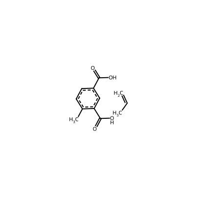 C=CC.Cc1ccc(C(=O)O)cc1C(=O)O